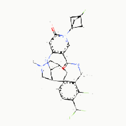 C[C@@H](NC(=O)c1cn(C23CC(F)(C2)C3)c(=O)cc1N[C@H]1[C@@H]2CC[C@H]1CN(C)C2)c1cccc(C(F)F)c1F